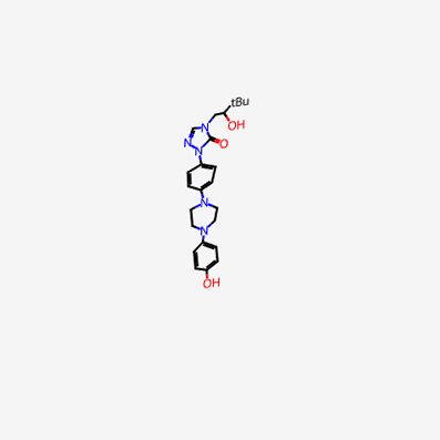 CC(C)(C)C(O)Cn1cnn(-c2ccc(N3CCN(c4ccc(O)cc4)CC3)cc2)c1=O